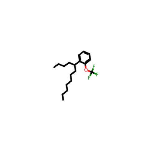 CCCCCCCC(CCCC)c1ccccc1OC(F)(F)F